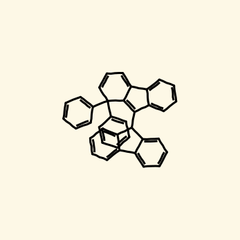 C1=CC(c2ccccc2)(c2ccccc2)C2=C(C3c4ccccc4-c4ccccc43)c3ccccc3C2=C1